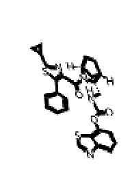 O=C(NC[C@H]1[C@H]2CC[C@@H](C2)N1C(=O)c1nc(C2CC2)sc1-c1ccccc1)Oc1cccc2ncsc12